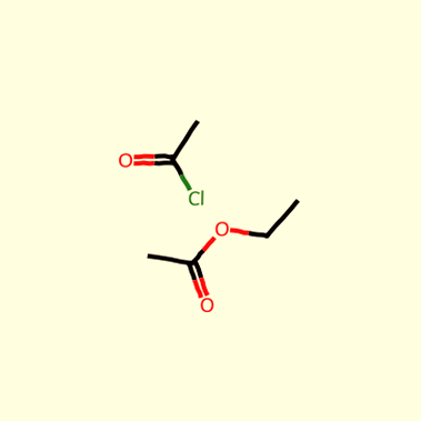 CC(=O)Cl.CCOC(C)=O